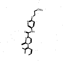 C=C1N=C(C(=O)Nc2ccc(OCCOC)nc2)C=CN1C(/C=C\C)=C(C)C